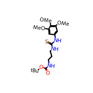 COc1cc(NC(=S)NCCCNC(=O)OC(C)(C)C)cc(OC)c1OC